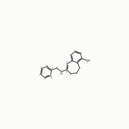 Oc1cccc2c1CCCC(NCc1ccccn1)=N2